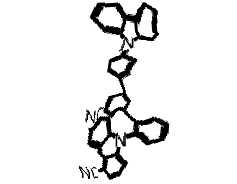 N#Cc1cc(-c2ccc(-n3c4ccccc4c4ccccc43)cc2)cc(-c2ccccc2-n2c3ccccc3c3c(C#N)cccc32)c1